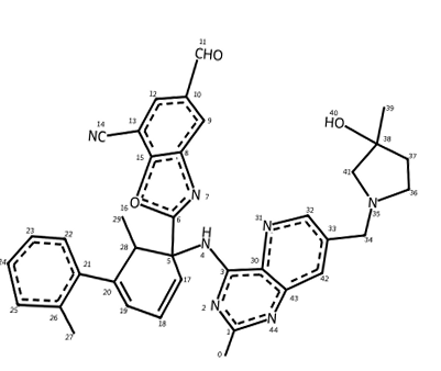 Cc1nc(NC2(c3nc4cc(C=O)cc(C#N)c4o3)C=CC=C(c3ccccc3C)C2C)c2ncc(CN3CCC(C)(O)C3)cc2n1